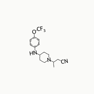 CC(CC#N)N1CCC(Nc2ccc(OC(F)(F)F)cc2)CC1